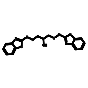 OC(CSSc1nc2ccccc2s1)CSSc1nc2ccccc2s1